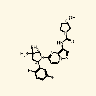 BC1(B)C[C@H](c2cc(F)ccc2F)N(c2ccn3ncc(NC(=O)N4CC[C@H](O)C4)c3n2)C1